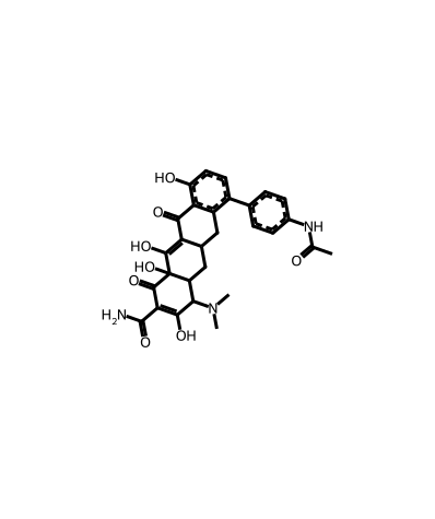 CC(=O)Nc1ccc(-c2ccc(O)c3c2CC2CC4C(N(C)C)C(O)=C(C(N)=O)C(=O)C4(O)C(O)=C2C3=O)cc1